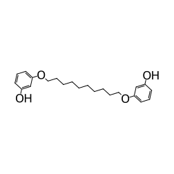 Oc1cccc(OCCCCCCCCCCOc2cccc(O)c2)c1